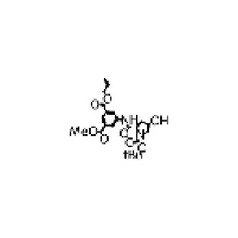 C=CCOC(=O)c1cc(NC(=O)[C@@H]2C[C@H](O)CN2C(=O)OC(C)(C)C)cc(C(=O)OC)c1